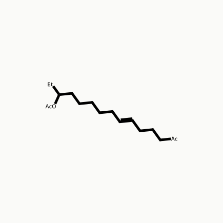 CCC(CCCCCC=CCCCC(C)=O)OC(C)=O